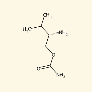 CC(C)[C@H](N)COC(N)=O